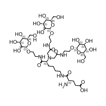 N[C@@H](CCC(=O)O)C(=O)NCCCC[C@@H](C(=O)NCCO[C@H]1O[C@H](CO)[C@@H](O)[C@H](O)[C@@H]1O)N(CC(=O)NCCO[C@H]1O[C@H](CO)[C@@H](O)[C@H](O)[C@@H]1O)CC(=O)NCCO[C@H]1O[C@H](CO)[C@@H](O)[C@H](O)[C@@H]1O